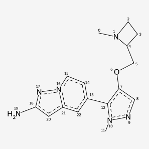 CN1CCC1COc1cnn(C)c1-c1ccn2nc(N)cc2c1